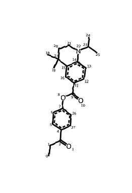 CCC(=O)c1ccc(OC(=O)c2ccc3c(c2)C(C)(C)CCN3C(C)C)cc1